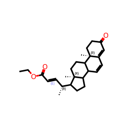 CCOC(=O)/C=C/[C@@H](C)C1CCC2C3C=CC4=CC(=O)CC[C@]4(C)C3CC[C@@]21C